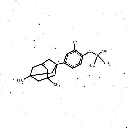 CC12CC3CC(C)(C1)CC(c1ccc(O[Si](C)(C)C(C)(C)C)c(Br)c1)(C3)C2